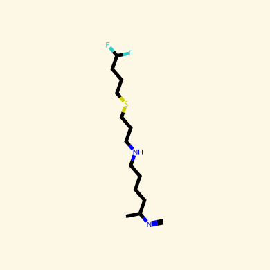 C=NC(C)CCCCNCCCSCCCC(F)F